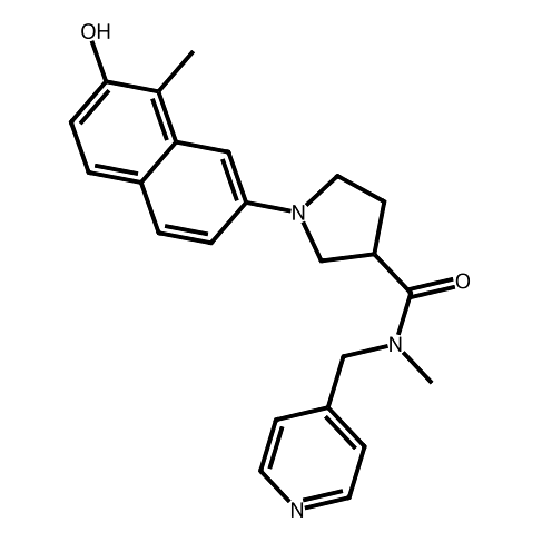 Cc1c(O)ccc2ccc(N3CCC(C(=O)N(C)Cc4ccncc4)C3)cc12